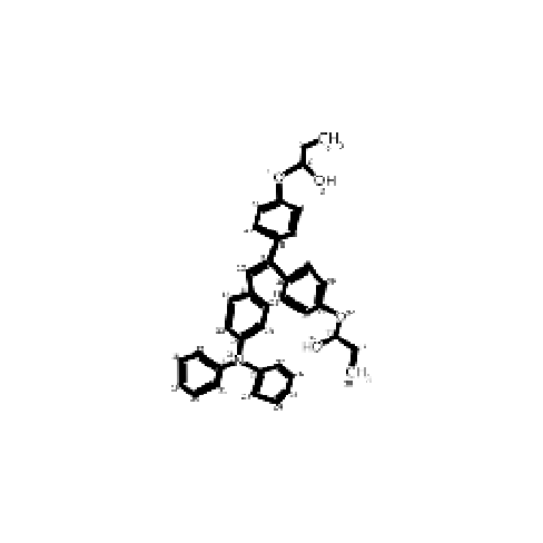 CCC(O)Oc1ccc(C(=Cc2ccc(N(c3ccccc3)c3ccccc3)cc2)c2ccc(OC(O)CC)cc2)cc1